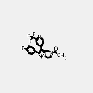 CC(=O)N1CCn2nc(-c3ccc(F)cc3)c(-c3ccnc(C(F)(F)F)c3)c2C1